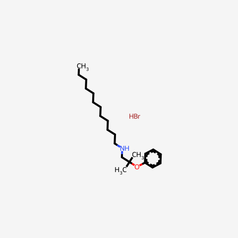 Br.CCCCCCCCCCCCNCC(C)(C)Oc1ccccc1